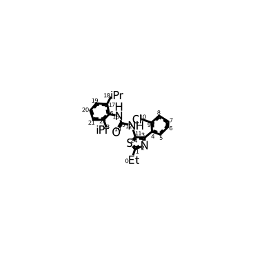 CCc1nc(-c2ccccc2Cl)c(NC(=O)Nc2c(C(C)C)cccc2C(C)C)s1